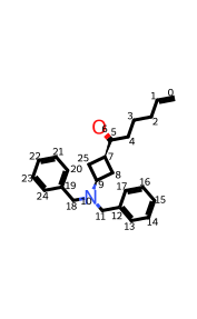 C=CCCCC(=O)[C@H]1C[C@@H](N(Cc2ccccc2)Cc2ccccc2)C1